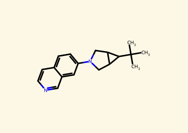 CC(C)(C)C1C2CN(c3ccc4ccncc4c3)CC21